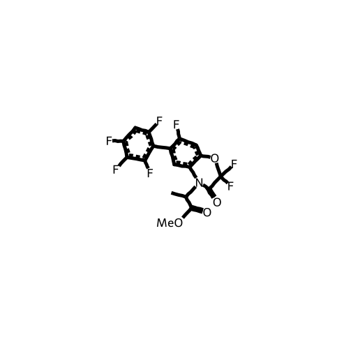 COC(=O)C(C)N1C(=O)C(F)(F)Oc2cc(F)c(-c3c(F)cc(F)c(F)c3F)cc21